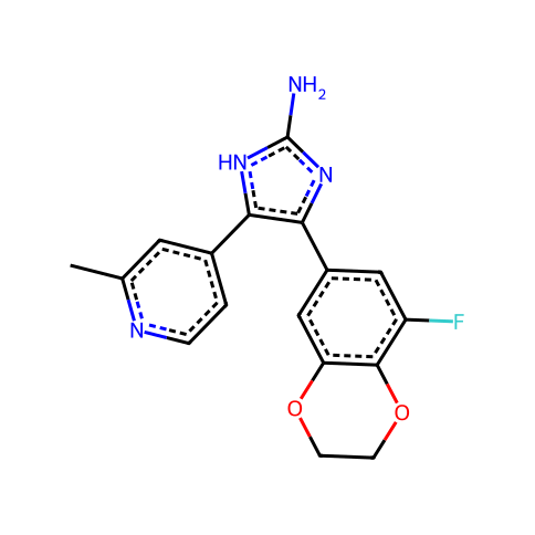 Cc1cc(-c2[nH]c(N)nc2-c2cc(F)c3c(c2)OCCO3)ccn1